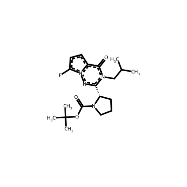 CC(C)Cn1c([C@@H]2CCCN2C(=O)OC(C)(C)C)nn2c(F)ccc2c1=O